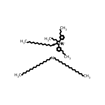 CCCCCCCCCCCCCCC#CC1=C(c2cccc(CCCC)c2)[N+](=[N-])C(c2cccc(CCCC)c2)=C1CCCC.CCCCCCCCCCCCCCCCCC[CH2][Ni][CH2]CCCCCCCCCCCCCCCCCC